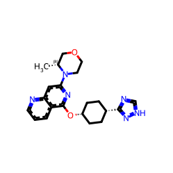 C[C@@H]1COCCN1c1cc2ncccc2c(O[C@H]2CC[C@@H](c3nc[nH]n3)CC2)n1